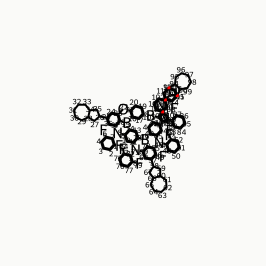 Fc1cccc(F)c1N1c2cc3c(cc2B2c4ccccc4Oc4cc(C5CC6CCCCCC6C5)cc1c42)B1c2cc4c(cc2N(c2c(F)cccc2F)c2cc(C5CC6CCCCCC6C5)cc(c21)N3c1c(F)cccc1F)N(c1c(F)cccc1F)c1cc(C2CC3CCCCCC3C2)cc2c1B4c1ccccc1N2c1ccccc1